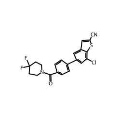 N#Cc1cc2cc(-c3ccc(C(=O)N4CCC(F)(F)CC4)cc3)cc(Cl)c2s1